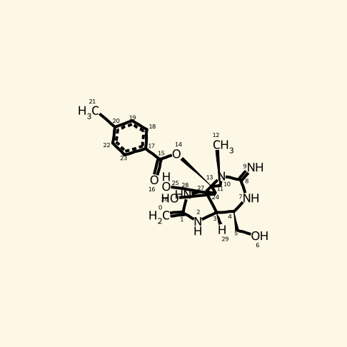 C=C1N[C@H]2[C@H](CO)NC(=N)N3[C@@H](C)[C@H](OC(=O)c4ccc(C)cc4)C(O)(O)[C@]23N1